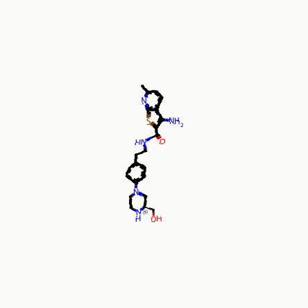 Cc1ccc2c(N)c(C(=O)NCCc3ccc(N4CCN[C@H](CO)C4)cc3)sc2n1